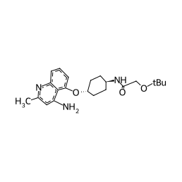 Cc1cc(N)c2c(O[C@H]3CC[C@H](NC(=O)COC(C)(C)C)CC3)cccc2n1